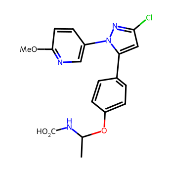 COc1ccc(-n2nc(Cl)cc2-c2ccc(OC(C)NC(=O)O)cc2)cn1